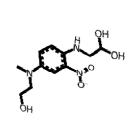 CN(CCO)c1ccc(NCC(O)O)c([N+](=O)[O-])c1